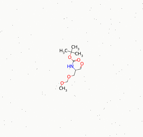 COCOCC(C=O)NC(=O)OC(C)(C)C